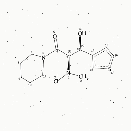 CN(Cl)[C@@H](C(=O)N1CCCCC1)[C@@H](O)c1ccsc1